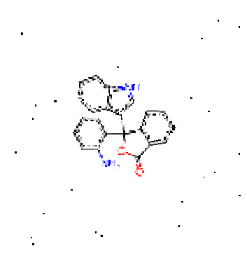 Nc1ccccc1C1(c2c[nH]c3ccccc23)OC(=O)c2ccccc21